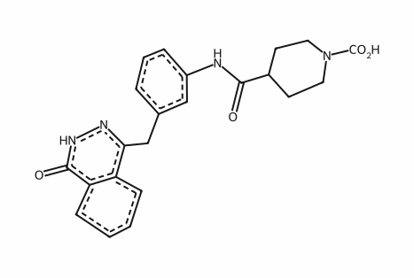 O=C(Nc1cccc(Cc2n[nH]c(=O)c3ccccc23)c1)C1CCN(C(=O)O)CC1